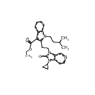 CCOC(=O)c1c(CCn2c(=O)n(C3CC3)c3ccncc32)n(CCC(C)C)c2ccccc12